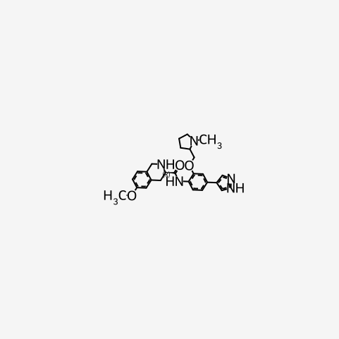 COc1ccc2c(c1)C[C@H](C(=O)Nc1ccc(-c3cn[nH]c3)cc1OCC1CCCN1C)NC2